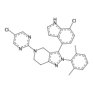 Cc1cccc(C)c1-n1nc2c(c1-c1ccc(Cl)c3[nH]ccc13)CN(c1ncc(Cl)cn1)CC2